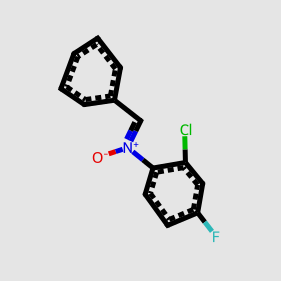 [O-][N+](=Cc1ccccc1)c1ccc(F)cc1Cl